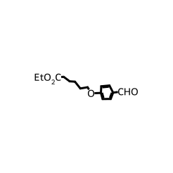 CCOC(=O)CCCCCOc1ccc(C=O)cc1